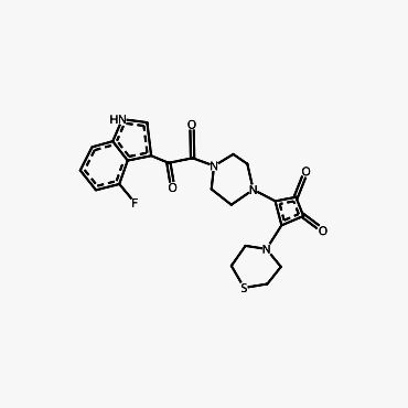 O=C(C(=O)N1CCN(c2c(N3CCSCC3)c(=O)c2=O)CC1)c1c[nH]c2cccc(F)c12